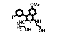 COc1ccc2c(NCCO)nc(C#N)c(-c3cccc(F)c3)c2c1.NCCO